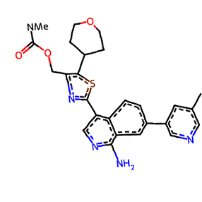 CNC(=O)OCc1nc(-c2cnc(N)c3cc(-c4cncc(C)c4)ccc23)sc1C1CCOCC1